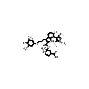 Cc1cc(OCCCc2c(C(=O)NC3(C)C=C(C(=O)O)C=CN3)[nH]c3c(-c4c(C)nn(C)c4C)c(Cl)ccc23)cc(C)c1Cl